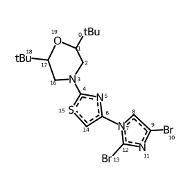 CC(C)(C)C1CN(c2nc(-n3cc(Br)nc3Br)cs2)CC(C(C)(C)C)O1